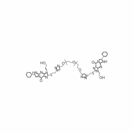 CC(C)(CCOCc1cn(CCSc2nc3c(=O)n4cc(-c5ccccc5)[nH]c4nc3n2CCO)nn1)OCCC(C)(C)OCc1cn(CCSc2nc3c(=O)n4cc(-c5ccccc5)[nH]c4nc3n2C=CCO)nn1